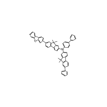 CC1(C)c2cc(-c3ccccc3)ccc2-c2ccc(N(c3ccc(-c4ccccc4)cc3)c3ccc4c(c3)C(C)(C)c3cc(-c5ccc6c(c5)oc5ccccc56)ccc3-4)cc21